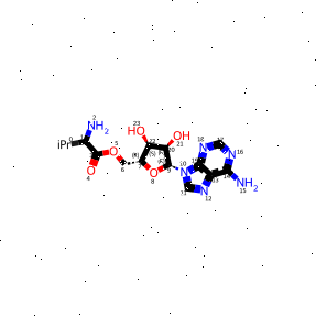 CC(C)C(N)C(=O)OC[C@H]1O[C@@H](n2cnc3c(N)ncnc32)[C@H](O)[C@@H]1O